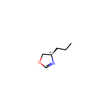 [CH2]CC[C@@H]1COC=N1